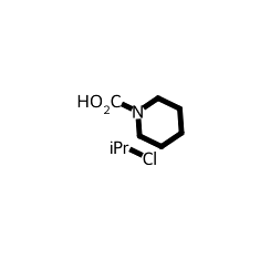 CC(C)Cl.O=C(O)N1CCCCC1